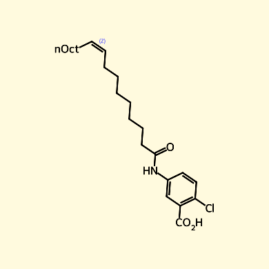 CCCCCCCC/C=C\CCCCCCCC(=O)Nc1ccc(Cl)c(C(=O)O)c1